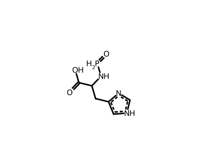 O=[PH2]NC(Cc1c[nH]cn1)C(=O)O